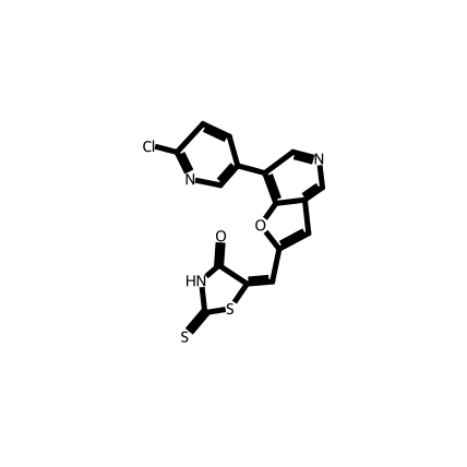 O=C1NC(=S)SC1=Cc1cc2cncc(-c3ccc(Cl)nc3)c2o1